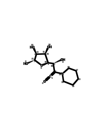 O=C=C([C@@H](O)[C@H]1O[C@H](O)[C@@H](O)[C@H]1O)N1CCCCC1